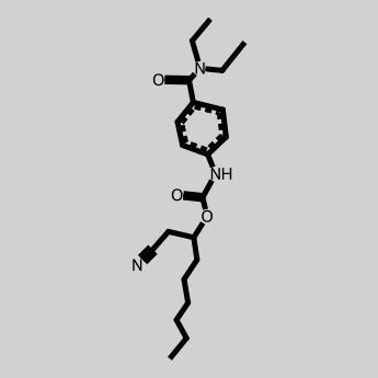 CCCCCCC(CC#N)OC(=O)Nc1ccc(C(=O)N(CC)CC)cc1